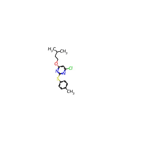 Cc1ccc(Sc2nc(Cl)cc(OCCC(C)C)n2)cc1